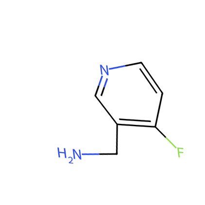 NCc1cnccc1F